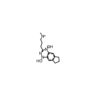 CN(C)CCCC1=NN(O)c2cc3c(cc2N1O)CCC3